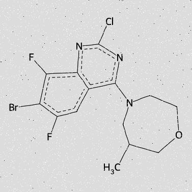 CC1COCCN(c2nc(Cl)nc3c(F)c(Br)c(F)cc23)C1